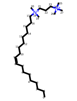 CCCCCCCC/C=C\CCCCCCCC[N+](C)(C)CCC[N+](C)(C)C